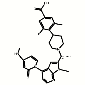 CNc1ccn(-c2ccnc3c2cc([C@@H](C)N2CCC(c4c(F)cc(C(=O)O)cc4F)CC2)n3C)c(=O)c1